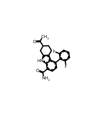 CC(=O)C1CCc2c([nH]c3c(C(N)=O)ccc(-c4c(F)cccc4F)c23)C1